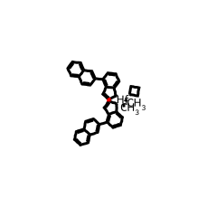 [CH3][Hf]([CH3])(=[C]1CCC1)([CH]1C=Cc2c(-c3ccc4ccccc4c3)cccc21)[CH]1C=Cc2c(-c3ccc4ccccc4c3)cccc21